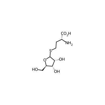 N[C@H](CCSC1O[C@H](CO)[C@@H](O)[C@H]1O)C(=O)O